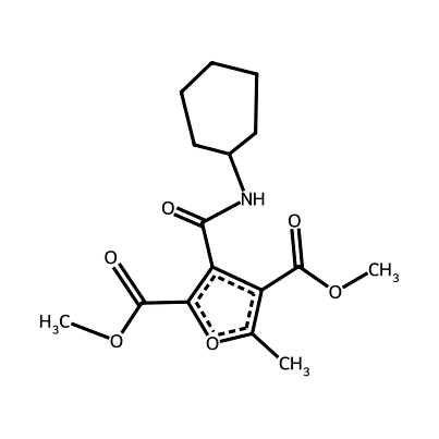 COC(=O)c1oc(C)c(C(=O)OC)c1C(=O)NC1CCCCC1